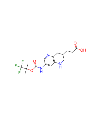 CC(C)(OC(=O)Nc1cnc2c(c1)NCC(CCC(=O)O)C2)C(F)(F)F